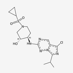 CC(C)c1nc(Cl)c2cnc(N[C@@H]3CCN(S(=O)(=O)C4CC4)C[C@H]3O)nn12